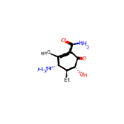 CC[C@H]1[C@H](N)C(OC)=C(C(N)=O)C(=O)[C@@H]1O